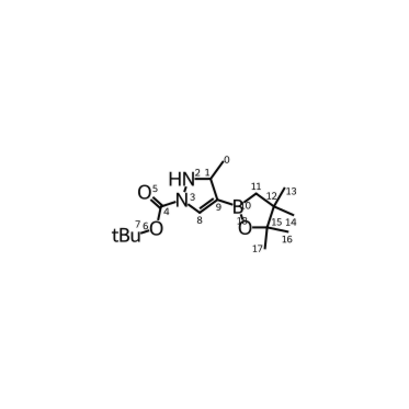 CC1NN(C(=O)OC(C)(C)C)C=C1B1CC(C)(C)C(C)(C)O1